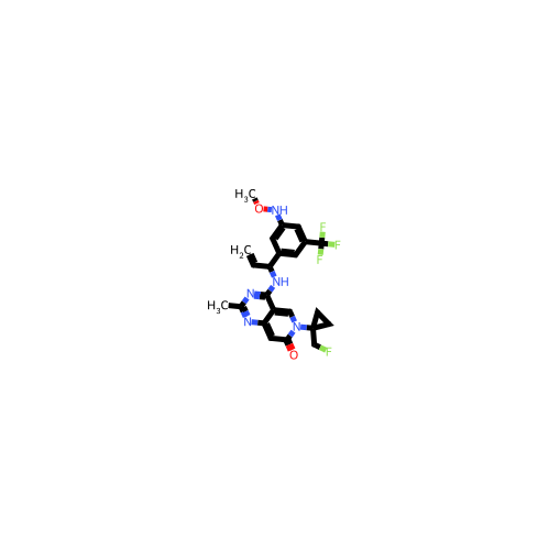 C=CC(Nc1nc(C)nc2cc(=O)n(C3(CF)CC3)cc12)c1cc(NOC)cc(C(F)(F)F)c1